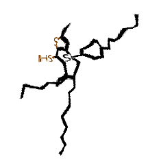 CC=CC1=C(S)c2sc(C)cc2[Si]1(CC(CCCCCC)CCCCCCCC)c1ccc(CCCCCC)cc1